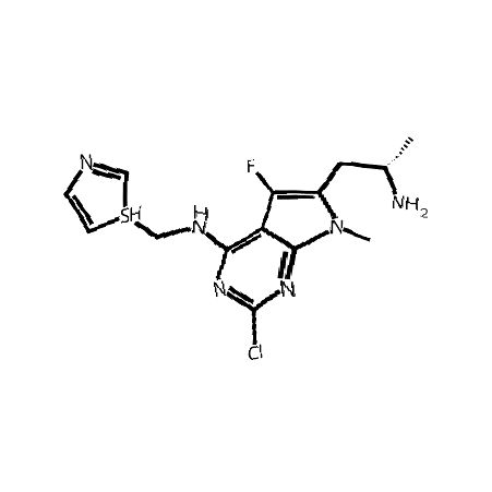 C[C@H](N)Cc1c(F)c2c(NC[SH]3C=CN=C3)nc(Cl)nc2n1C